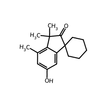 Cc1cc(O)cc2c1C(C)(C)C(=O)C21CCCCC1